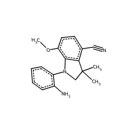 COc1ccc(C#N)c2c1N(c1ccccc1N)CC2(C)C